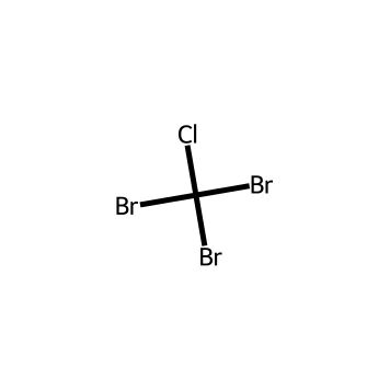 ClC(Br)(Br)Br